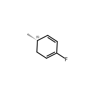 C[C@@H]1C=CC(F)=CC1